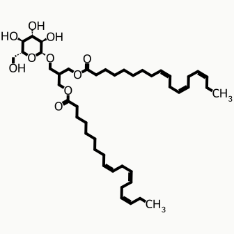 CC/C=C\C/C=C\C/C=C\CCCCCCCC(=O)OCC(COC(=O)CCCCCCC/C=C\C/C=C\C/C=C\CC)CO[C@@H]1O[C@H](CO)[C@@H](O)[C@H](O)[C@H]1O